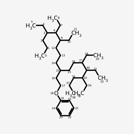 CCCC(CC)C(CC)C(CC)CCCC(CCOc1ccccc1)CCC(CC)C(CC)C(CC)CCC